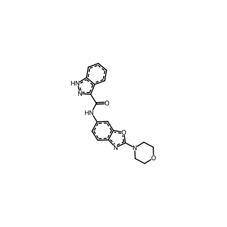 O=C(Nc1ccc2nc(N3CCOCC3)oc2c1)c1n[nH]c2ccccc12